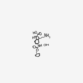 Cl.NCCCc1c(C(=O)O)[nH]c2ccc(NC(=O)OCc3ccccc3)cc12